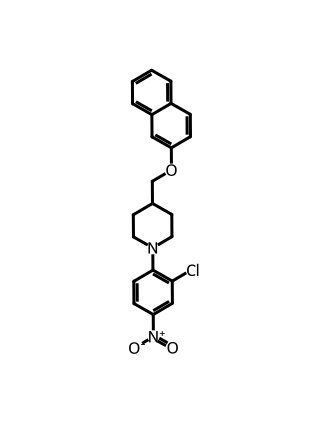 O=[N+]([O-])c1ccc(N2CCC(COc3ccc4ccccc4c3)CC2)c(Cl)c1